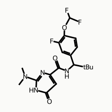 CN(C)c1nc(C(=O)NC(c2ccc(OC(F)F)c(F)c2)C(C)(C)C)cc(=O)[nH]1